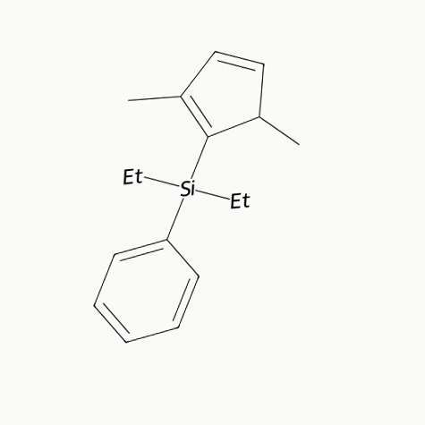 CC[Si](CC)(C1=C(C)C=CC1C)c1ccccc1